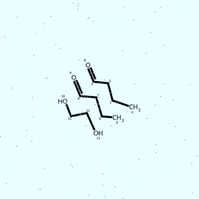 CCCC=O.CCCC=O.OCCO